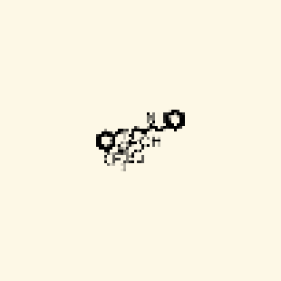 CC(C)(C)OC(=O)N(Cc1cccc(C(F)(F)F)c1)CC(O)C(N)Cc1ccccc1